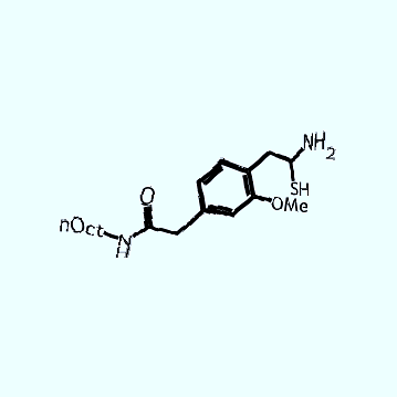 CCCCCCCCNC(=O)Cc1ccc(CC(N)S)c(OC)c1